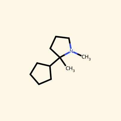 CN1CCCC1(C)C1CCCC1